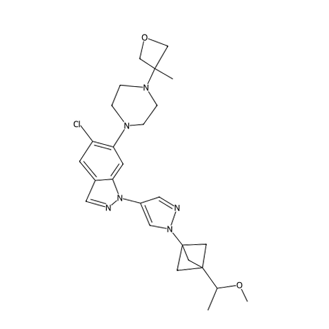 COC(C)C12CC(n3cc(-n4ncc5cc(Cl)c(N6CCN(C7(C)COC7)CC6)cc54)cn3)(C1)C2